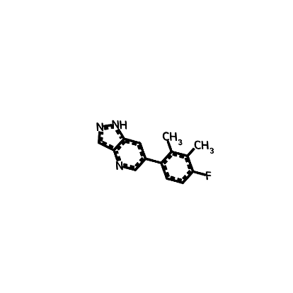 Cc1c(F)ccc(-c2cnc3cn[nH]c3c2)c1C